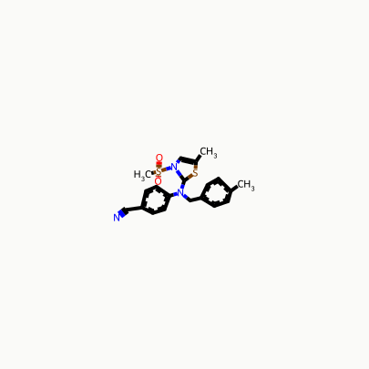 CC1=CN(S(C)(=O)=O)C(N(Cc2ccc(C)cc2)c2ccc(C#N)cc2)S1